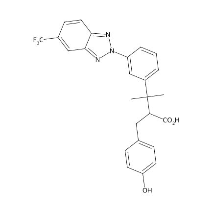 CC(C)(c1cccc(-n2nc3ccc(C(F)(F)F)cc3n2)c1)C(Cc1ccc(O)cc1)C(=O)O